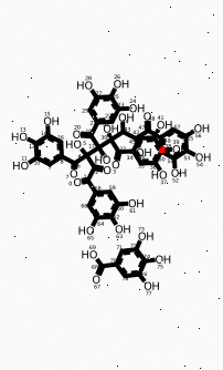 O=C(C(=O)C(O)(C(=O)c1cc(O)c(O)c(O)c1)C(O)(C(=O)c1cc(O)c(O)c(O)c1)C(O)(C(=O)c1cc(O)c(O)c(O)c1)C(O)C(O)C(=O)c1cc(O)c(O)c(O)c1)c1cc(O)c(O)c(O)c1.O=C(O)c1cc(O)c(O)c(O)c1